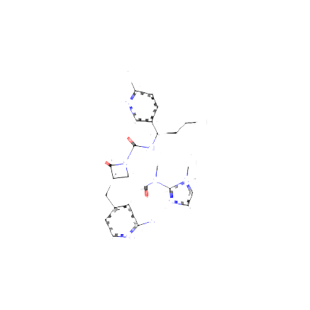 CCC[C@@H](NC(=O)N1C(=O)[C@H](Cc2ccnc(N)c2)[C@H]1C(=O)N(C)c1nccn1C)c1ccc(C)nc1